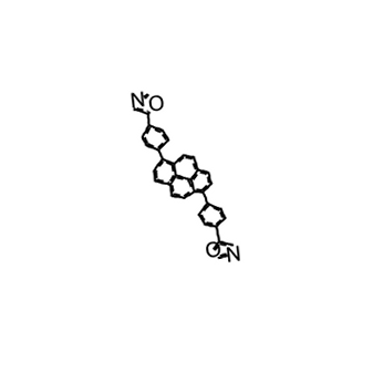 c1ncc(-c2ccc(-c3ccc4ccc5c(-c6ccc(-c7cnco7)cc6)ccc6ccc3c4c65)cc2)o1